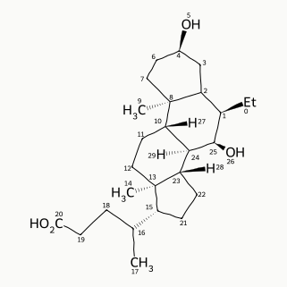 CC[C@@H]1C2C[C@H](O)CC[C@]2(C)[C@H]2CC[C@]3(C)[C@@H](C(C)CCC(=O)O)CC[C@H]3[C@@H]2[C@@H]1O